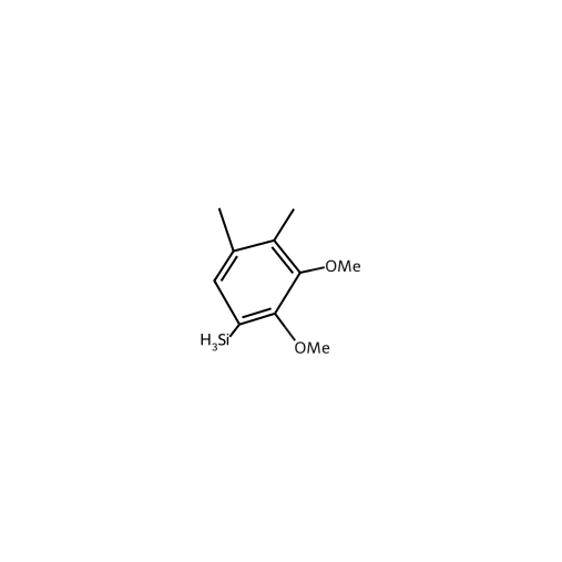 COc1c([SiH3])cc(C)c(C)c1OC